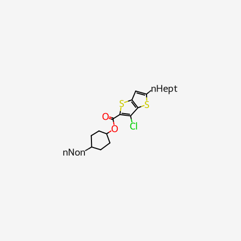 CCCCCCCCCC1CCC(OC(=O)c2sc3cc(CCCCCCC)sc3c2Cl)CC1